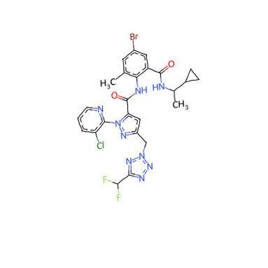 Cc1cc(Br)cc(C(=O)NC(C)C2CC2)c1NC(=O)c1cc(Cn2nnc(C(F)F)n2)nn1-c1ncccc1Cl